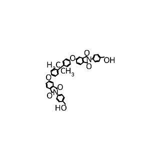 CC(C)(c1ccc(Oc2ccc3c(c2)C(=O)N(c2ccc(CO)cc2)C3=O)cc1)c1ccc(Oc2ccc3c(c2)C(=O)N(c2ccc(CO)cc2)C3=O)cc1